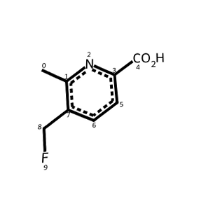 Cc1nc(C(=O)O)ccc1CF